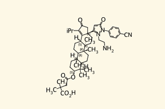 CC(C)C1=C2[C@H]3CC[C@@H]4[C@@]5(C)CC[C@H](OC(=O)CC(C)(C)C(=O)O)C(C)(C)[C@@H]5CC[C@@]4(C)[C@]3(C)CC[C@@]2(c2cc(=O)n(-c3ccc(C#N)cc3)n2CCN)CC1=O